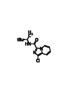 C[C@@H](NC(=O)c1nc(Cl)c2ccccn12)C(C)(C)C